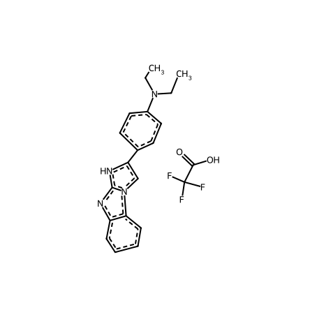 CCN(CC)c1ccc(-c2cn3c(nc4ccccc43)[nH]2)cc1.O=C(O)C(F)(F)F